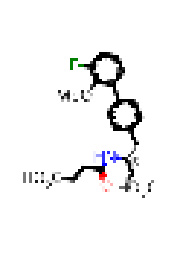 COc1c(F)cccc1-c1ccc(C[C@H](CC(=O)O)NC(=O)CCC(=O)O)cc1